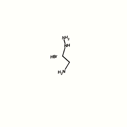 Br.NCCNN